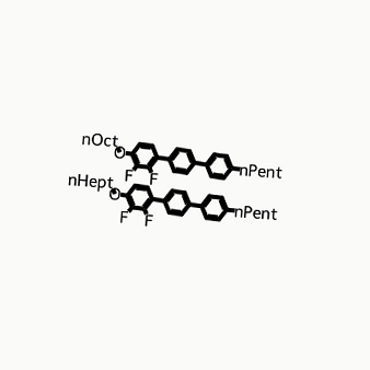 CCCCCCCCOc1ccc(-c2ccc(-c3ccc(CCCCC)cc3)cc2)c(F)c1F.CCCCCCCOc1ccc(-c2ccc(-c3ccc(CCCCC)cc3)cc2)c(F)c1F